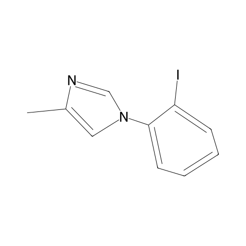 Cc1cn(-c2ccccc2I)cn1